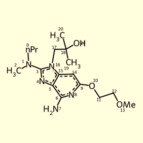 CCCN(C)c1nc2c(N)nc(OCCOC)cc2n1CC(C)(C)O